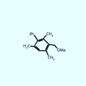 COCc1c(C)cc(C)c(C(C)C)c1C